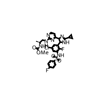 COC(=O)N[C@@H](C)CNc1nccc(C2N=C(C3CC3)NC2c2cc(Cl)cc(NS(=O)(=O)c3ccc(F)cc3)c2F)n1